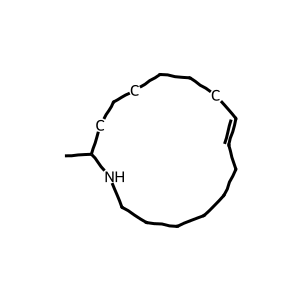 CC1CCCCCC/C=C/CCCCCCN1